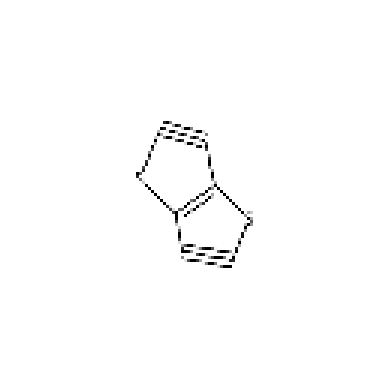 c1sc2c#csc2c#1